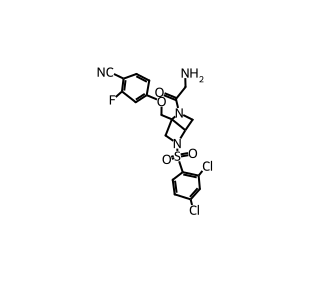 N#Cc1ccc(OCC23CN(S(=O)(=O)c4ccc(Cl)cc4Cl)C2CN3C(=O)CN)cc1F